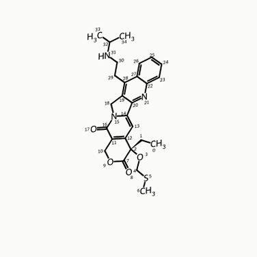 CC[C@@]1(OCSC)C(=O)OCc2c1cc1n(c2=O)Cc2c-1nc1ccccc1c2CCNC(C)C